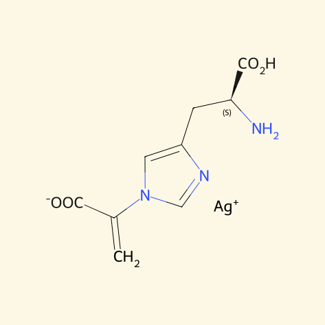 C=C(C(=O)[O-])n1cnc(C[C@H](N)C(=O)O)c1.[Ag+]